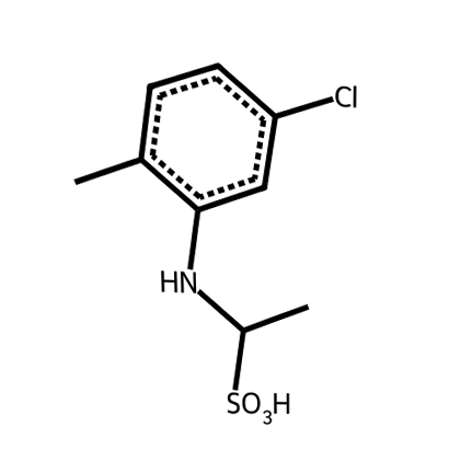 Cc1ccc(Cl)cc1NC(C)S(=O)(=O)O